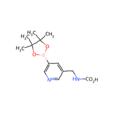 CC1(C)OB(c2cncc(CNC(=O)O)c2)OC1(C)C